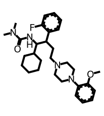 COc1ccccc1N1CCN(CCC(c2ccccc2F)C(NC(=O)N(C)C)C2CCCCC2)CC1